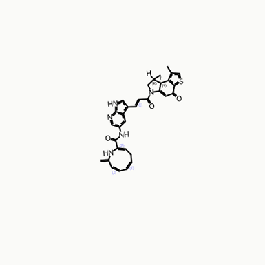 C=C1/C=C\C=C/C/C=C(/C(=O)Nc2cnc3[nH]cc(/C=C/C(=O)N4C[C@@H]5C[C@]56C4=CC(=O)c4scc(C)c46)c3c2)N1